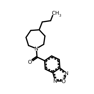 CCCC1CCCN(C(=O)c2ccc3nonc3c2)CC1